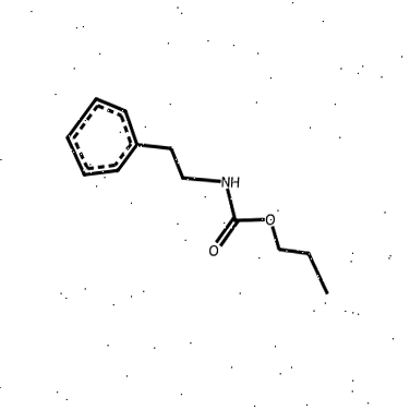 CCCOC(=O)NCCc1ccccc1